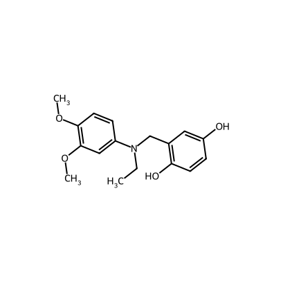 CCN(Cc1cc(O)ccc1O)c1ccc(OC)c(OC)c1